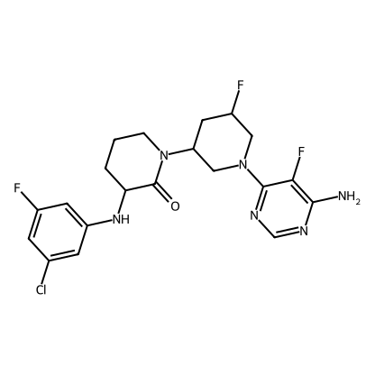 Nc1ncnc(N2CC(F)CC(N3CCCC(Nc4cc(F)cc(Cl)c4)C3=O)C2)c1F